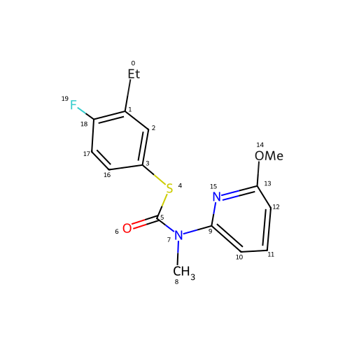 CCc1cc(SC(=O)N(C)c2cccc(OC)n2)ccc1F